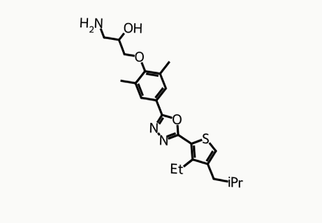 CCc1c(CC(C)C)csc1-c1nnc(-c2cc(C)c(OCC(O)CN)c(C)c2)o1